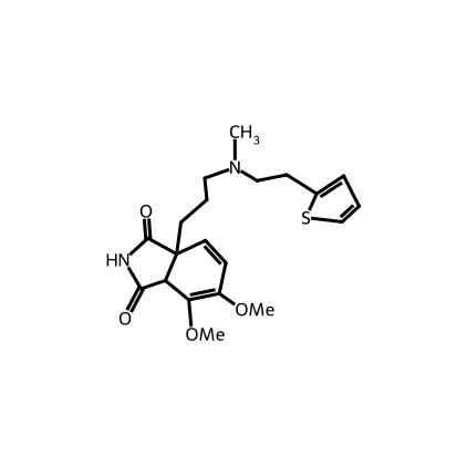 COC1=C(OC)C2C(=O)NC(=O)C2(CCCN(C)CCc2cccs2)C=C1